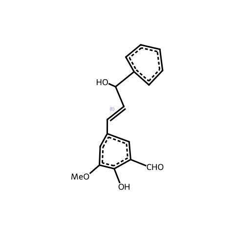 COc1cc(/C=C/C(O)c2ccccc2)cc(C=O)c1O